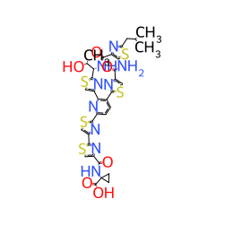 CC(C)Cc1nc(C(=O)N[C@H](c2nc(-c3nc(-c4nc(-c5nc(C(=O)NC6(C(=O)O)CC6)cs5)cs4)ccc3-c3nc(C(N)=O)cs3)cs2)[C@@H](C)O)cs1